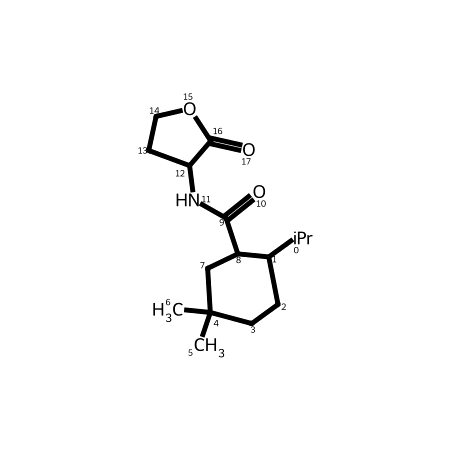 CC(C)C1CCC(C)(C)CC1C(=O)NC1CCOC1=O